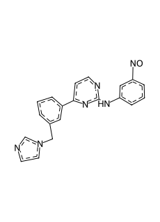 O=Nc1cccc(Nc2nccc(-c3cccc(Cn4ccnc4)c3)n2)c1